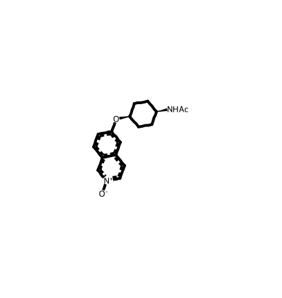 CC(=O)N[C@H]1CC[C@@H](Oc2ccc3c[n+]([O-])ccc3c2)CC1